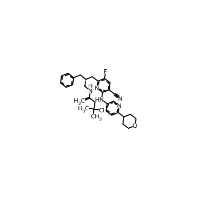 C=C(CC(C)(C)C)NC[C@@H](Cc1ccccc1)Cc1nc(Nc2ccc(C3CCOCC3)nc2)c(C#N)cc1F